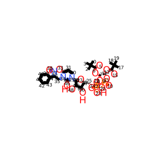 CC(C)(C)C(=O)OCOP(=O)(OCOC(=O)C(C)(C)C)OP(=O)(O)OC[C@H]1O[C@@H](n2ccc(=O)n(Cc3noc4ccccc34)c2=O)[C@@H](O)[C@H]1O